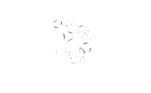 CN(C)C1(C)CCN(C(=O)c2ccc(Nc3ncc4c(n3)-c3ccc(Cl)cc3C(c3ccccc3F)=NC4)cc2)C1